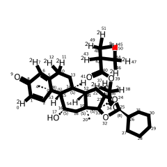 [2H]C1=C[C@@]2(C)C(=C([2H])C1=O)C([2H])([2H])C[C@@H]1[C@@H]2[C@@H](O)C[C@@]2(C)[C@H]1C[C@H]1O[C@@H](C3CCCCC3)O[C@]12C(=O)C([2H])([2H])OC(=O)C([2H])(C([2H])([2H])[2H])C([2H])([2H])[2H]